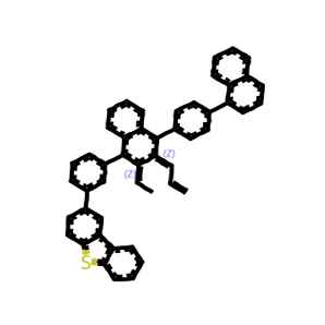 C=C/C=c1/c(-c2ccc(-c3cccc4ccccc34)cc2)c2ccccc2c(-c2cccc(-c3ccc4sc5ccccc5c4c3)c2)/c1=C/C